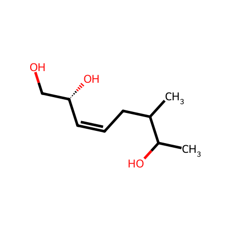 CC(O)C(C)C/C=C\[C@@H](O)CO